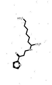 O=C(O)CCCCCCC(NCCC(=O)c1cccs1)C(=O)O